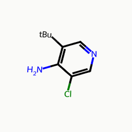 CC(C)(C)c1cncc(Cl)c1N